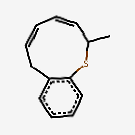 CC1/C=C\C=C/Cc2ccccc2S1